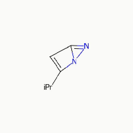 CC(C)c1cc2nn1-2